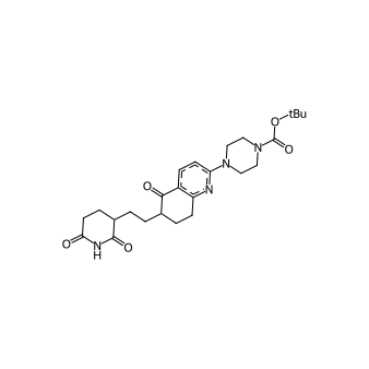 CC(C)(C)OC(=O)N1CCN(c2ccc3c(n2)CCC(CCC2CCC(=O)NC2=O)C3=O)CC1